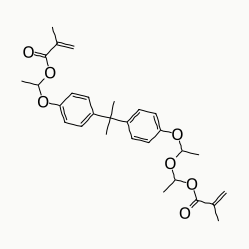 C=C(C)C(=O)OC(C)Oc1ccc(C(C)(C)c2ccc(OC(C)OC(C)OC(=O)C(=C)C)cc2)cc1